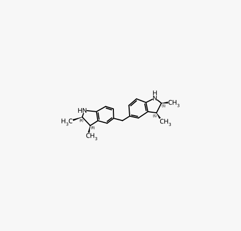 C[C@@H]1Nc2ccc(Cc3ccc4c(c3)[C@@H](C)[C@@H](C)N4)cc2[C@@H]1C